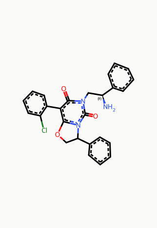 N[C@@H](Cn1c(=O)c(-c2ccccc2Cl)c2n(c1=O)C(c1ccccc1)CO2)c1ccccc1